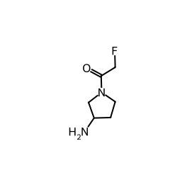 NC1CCN(C(=O)CF)C1